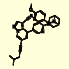 COc1ccc(CN2C3CC2CN(c2ccc(-c4cc(C#CCC(C)C)cn5ncc(C#N)c45)cn2)C3)cn1